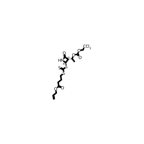 C=CCOC(=O)CCCSC(=S)S[C@H]1NC(=O)[C@@H]1C(C)OC(=O)OCC(Cl)(Cl)Cl